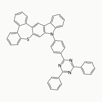 c1ccc(-c2nc(-c3ccccc3)nc(-c3ccc(-n4c5ccccc5c5cc6c(cc54)Sc4ccccc4-c4ccccc4-6)cc3)n2)cc1